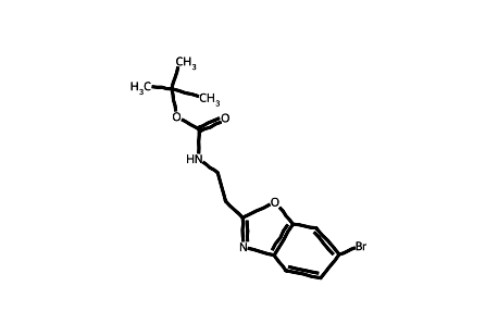 CC(C)(C)OC(=O)NCCc1nc2ccc(Br)cc2o1